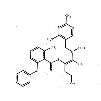 C/C(=C(\CCO)SC(=O)c1c(C)cccc1Oc1ccccc1)N(C=O)Cc1cnc(C)nc1N